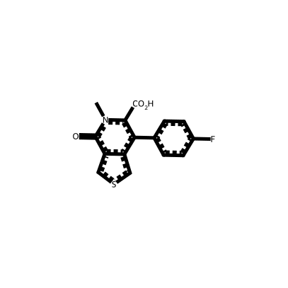 Cn1c(C(=O)O)c(-c2ccc(F)cc2)c2cscc2c1=O